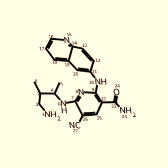 CC(CN)C(C)Nc1nc(Nc2ccc3ncccc3c2)c(C(N)=O)cc1C#N